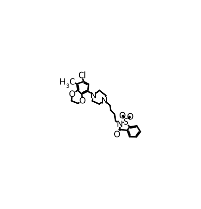 Cc1c(Cl)cc(N2CCN(CCCCN3C(=O)c4ccccc4S3(=O)=O)CC2)c2c1OCCO2